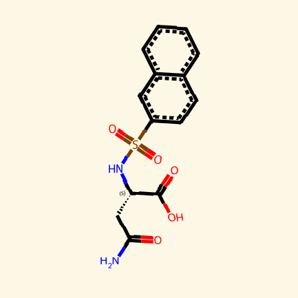 NC(=O)C[C@H](NS(=O)(=O)c1ccc2ccccc2c1)C(=O)O